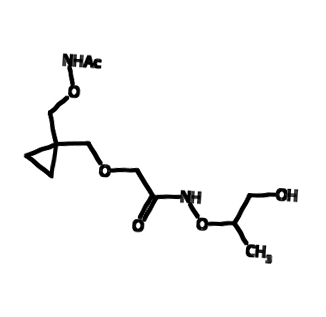 CC(=O)NOCC1(COCC(=O)NOC(C)CO)CC1